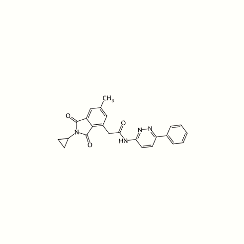 Cc1cc(CC(=O)Nc2ccc(-c3ccccc3)nn2)c2c(c1)C(=O)N(C1CC1)C2=O